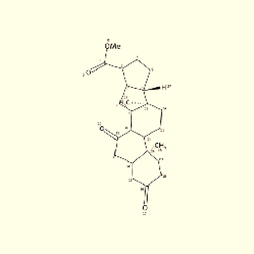 COC(=O)C1CC[C@H]2C1CC1C3C(=O)CC4CC(=O)CC[C@]4(C)C3CC[C@@]12C